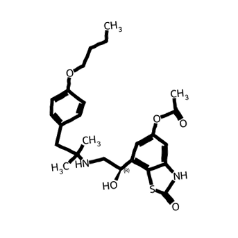 CCCCOc1ccc(CC(C)(C)NC[C@H](O)c2cc(OC(C)=O)cc3[nH]c(=O)sc23)cc1